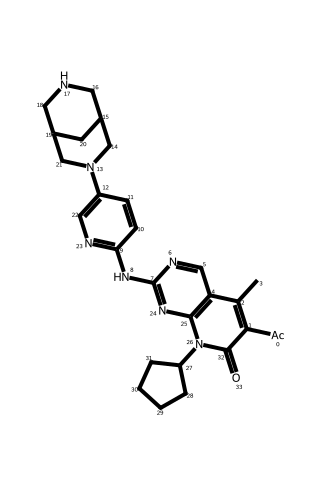 CC(=O)c1c(C)c2cnc(Nc3ccc(N4CC5CNCC(C5)C4)cn3)nc2n(C2CCCC2)c1=O